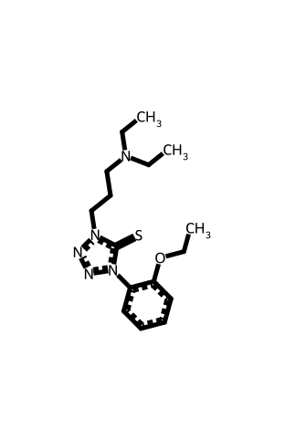 CCOc1ccccc1-n1nnn(CCCN(CC)CC)c1=S